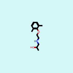 Cc1cccc(C)c1OCCNCC(C)O